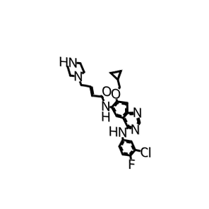 O=C(/C=C/CN1CCNCC1)Nc1cc2c(Nc3ccc(F)c(Cl)c3)ncnc2cc1OCC1CC1